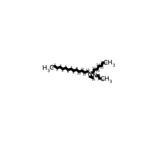 CCCCCCCCCCCCCCN1C=CN(CCC)C1CCCCCC